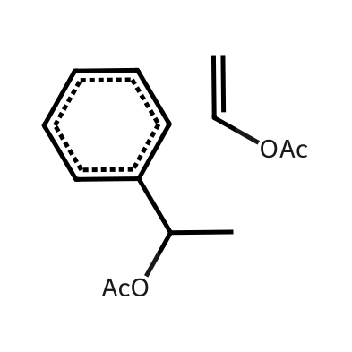 C=COC(C)=O.CC(=O)OC(C)c1ccccc1